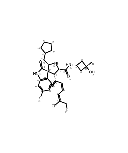 C=C(/C=C\C=C(\Cl)CF)[C@H]1[C@H](C(=O)N[C@H]2C[C@@](C)(O)C2)N[C@H](CC2CCCC2)[C@]12C(=O)Nc1cc(Cl)ccc12